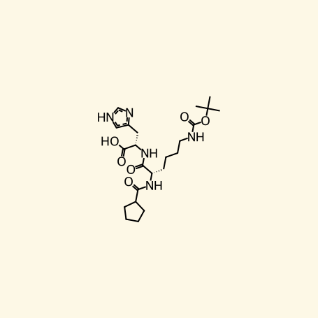 CC(C)(C)OC(=O)NCCCC[C@H](NC(=O)C1CCCC1)C(=O)N[C@@H](Cc1c[nH]cn1)C(=O)O